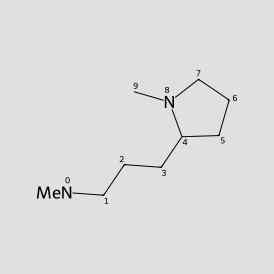 CNCCCC1CCCN1C